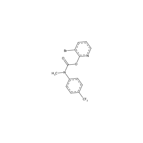 CN(C(=O)Oc1ncccc1Br)c1ccc(C(F)(F)F)cc1